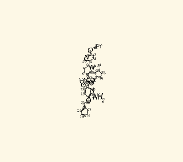 CC(C)Oc1ccc(-c2ccc(C(=O)NS(=O)(=O)c3ccc(OCc4ccccc4)c(N)n3)c(C3[C@H](C)CC[C@@H]3C)n2)cn1